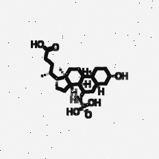 C[C@H](CCC(=O)O)[C@H]1CC[C@H]2[C@@H]3C(NP(=O)(O)O)C[C@@H]4C[C@H](O)CC[C@]4(C)[C@H]3CC[C@]12C